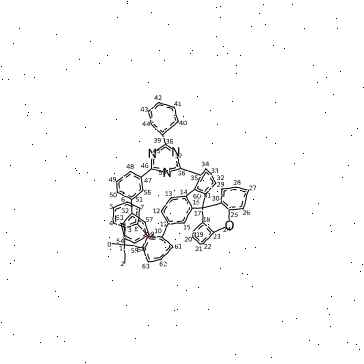 CC1(C)c2ccccc2-c2c(-c3ccc4c(c3)C3(c5ccccc5Oc5ccccc53)c3cccc(-c5nc(-c6ccccc6)nc(-c6cccc(-c7ccccc7)c6)n5)c3-4)cccc21